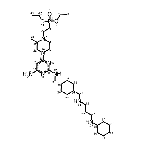 CCOP(=O)(CCN1CCN(c2cc(N)nc(NC[C@H]3CC[C@H](CNCCCNC4CCCCC4)CC3)n2)CC1C)OCC